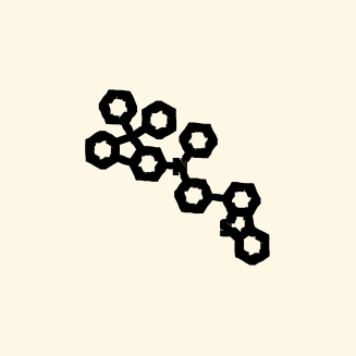 c1ccc(N(c2cccc(-c3cccc4c3sc3ccccc34)c2)c2ccc3c(c2)C(c2ccccc2)(c2ccccc2)c2ccccc2-3)cc1